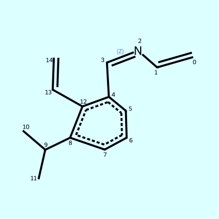 C=C/N=C\c1cccc(C(C)C)c1C=C